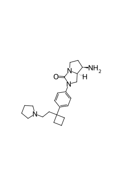 N[C@@H]1CCN2C(=O)N(c3ccc(C4(CCN5CCCC5)CCC4)cc3)C[C@H]12